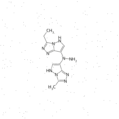 CCc1nnc2c(N(N)c3c[nH]n4c(C)nnc34)c[nH]n12